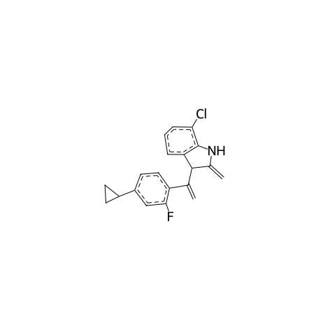 C=C1Nc2c(Cl)cccc2C1C(=C)c1ccc(C2CC2)cc1F